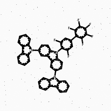 Fc1cc(-c2c(F)c(F)c(F)c(F)c2F)cc(F)c1-n1c2ccc(-n3c4ccccc4c4ccccc43)cc2c2cc(-n3c4ccccc4c4ccccc43)ccc21